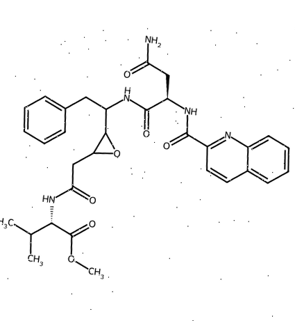 COC(=O)[C@@H](NC(=O)CC1OC1C(Cc1ccccc1)NC(=O)[C@@H](CC(N)=O)NC(=O)c1ccc2ccccc2n1)C(C)C